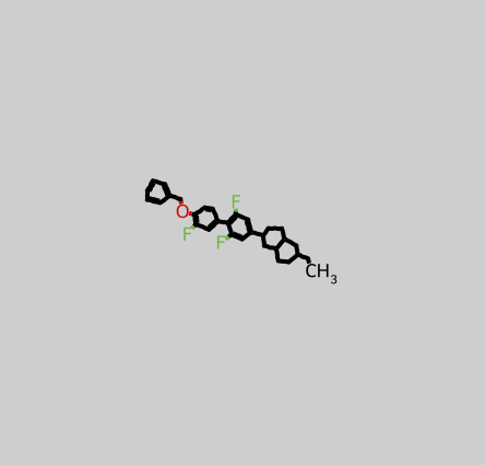 CCC1CCC2CC(c3cc(F)c(-c4ccc(OCc5ccccc5)c(F)c4)c(F)c3)CCC2C1